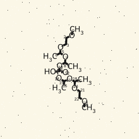 COCCOC(C)OC(C)OP(=O)(O)OC(C)OC(C)OCCOC